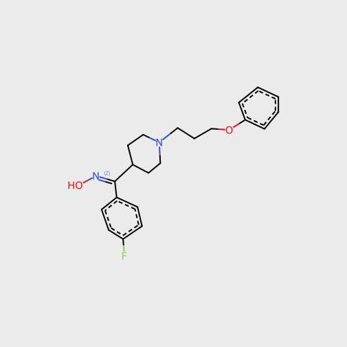 O/N=C(\c1ccc(F)cc1)C1CCN(CCCOc2ccccc2)CC1